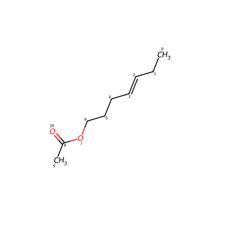 CCC=CCCCOC(C)=O